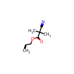 C=CCOC(=O)C(C)(C)C#N